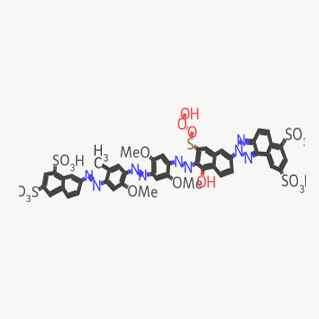 COc1cc(N=Nc2ccc3cc(S(=O)(=O)O)cc(S(=O)(=O)O)c3c2)c(C)cc1N=Nc1cc(OC)c(N=Nc2c(SOOO)cc3cc(-n4nc5ccc6c(S(=O)(=O)O)cc(S(=O)(=O)O)cc6c5n4)ccc3c2O)cc1OC